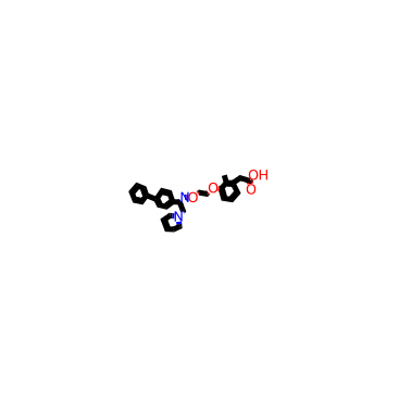 Cc1c(CC(=O)O)cccc1OCCO/N=C(\CN1CC=CCC1)c1ccc(-c2ccccc2)cc1